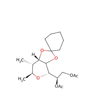 CC(=O)OC[C@@H](OC(C)=O)[C@@H]1O[C@@H](C)[C@H](C)[C@@H]2OC3(CCCCC3)OC21